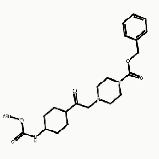 CC(C)(C)OC(=O)NC1CCC(C(=O)CN2CCN(C(=O)OCc3ccccc3)CC2)CC1